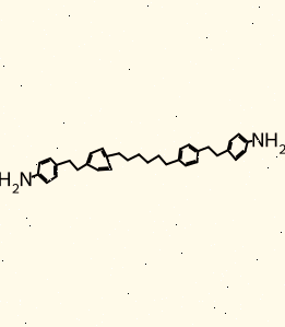 Nc1ccc(CCc2ccc(CCCCCCc3ccc(CCc4ccc(N)cc4)cc3)cc2)cc1